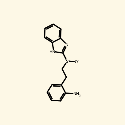 Nc1ccccc1CC[S+]([O-])c1nc2ccccc2[nH]1